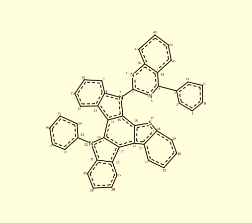 c1ccc(-c2nc(-n3c4ccccc4c4c3c3sc5ccccc5c3c3c5ccccc5n(-c5ccccc5)c34)nc3ccccc23)cc1